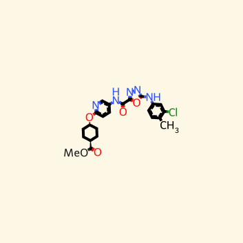 COC(=O)[C@H]1CC[C@H](Oc2ccc(NC(=O)c3nnc(Nc4ccc(C)c(Cl)c4)o3)cn2)CC1